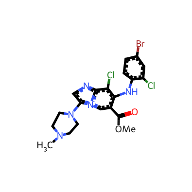 COC(=O)c1cn2c(N3CCN(C)CC3)cnc2c(Cl)c1Nc1ccc(Br)cc1Cl